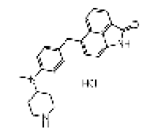 CN(c1ccc(Cc2ccc3c4c(cccc24)C(=O)N3)cc1)C1CCNCC1.Cl